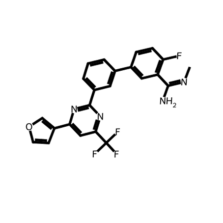 C/N=C(/N)c1cc(-c2cccc(-c3nc(-c4ccoc4)cc(C(F)(F)F)n3)c2)ccc1F